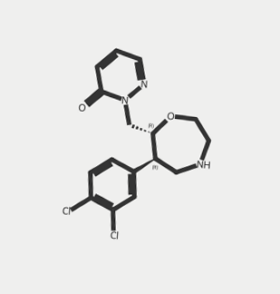 O=c1cccnn1C[C@@H]1OCCNC[C@H]1c1ccc(Cl)c(Cl)c1